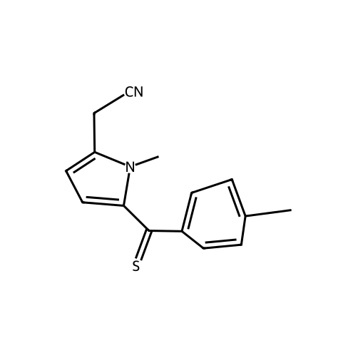 Cc1ccc(C(=S)c2ccc(CC#N)n2C)cc1